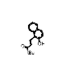 CC(C)(C)C(=O)/C=C/c1c(O)ccc2ccccc12